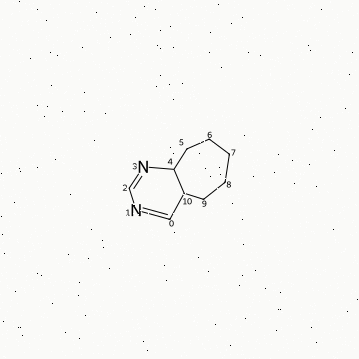 C1=NC=NC2CCCCCC12